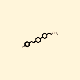 CCCC1CCC(C2CCC(=CCc3ccc(F)cc3)CC2)CC1